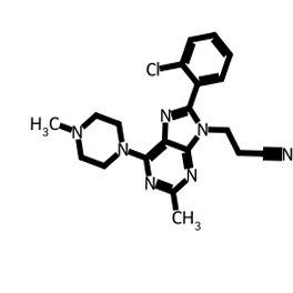 Cc1nc(N2CCN(C)CC2)c2nc(-c3ccccc3Cl)n(CCC#N)c2n1